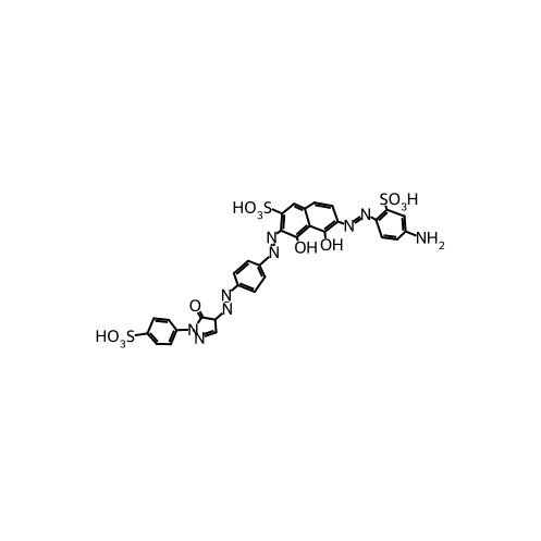 Nc1ccc(/N=N/c2ccc3cc(S(=O)(=O)O)c(/N=N/c4ccc(/N=N/C5C=NN(c6ccc(S(=O)(=O)O)cc6)C5=O)cc4)c(O)c3c2O)c(S(=O)(=O)O)c1